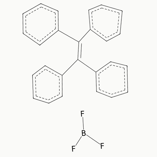 FB(F)F.c1ccc(C(=C(c2ccccc2)c2ccccc2)c2ccccc2)cc1